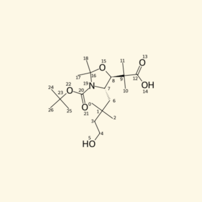 CC(C)(CCO)C[C@H]1[C@H](C(C)(C)C(=O)O)OC(C)(C)N1C(=O)OC(C)(C)C